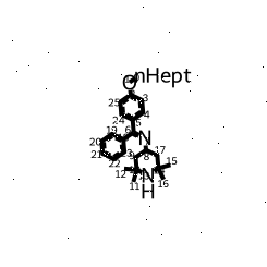 CCCCCCCOc1ccc(C(=NC2CC(C)(C)NC(C)(C)C2)c2ccccc2)cc1